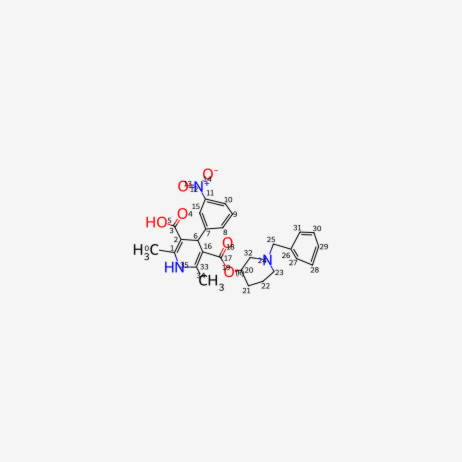 CC1=C(C(=O)O)C(c2cccc([N+](=O)[O-])c2)C(C(=O)O[C@@H]2CCCN(Cc3ccccc3)C2)=C(C)N1